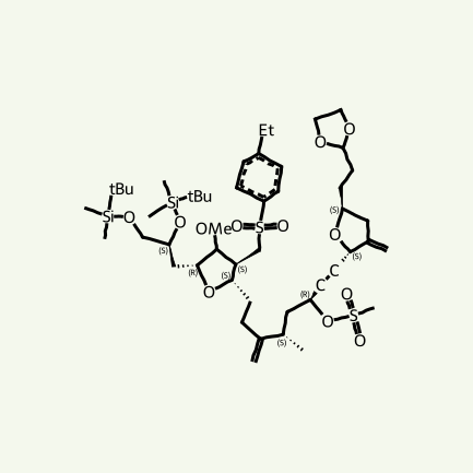 C=C1C[C@H](CCC2OCCO2)O[C@H]1CC[C@H](C[C@H](C)C(=C)CC[C@@H]1O[C@H](C[C@@H](CO[Si](C)(C)C(C)(C)C)O[Si](C)(C)C(C)(C)C)C(OC)[C@H]1CS(=O)(=O)c1ccc(CC)cc1)OS(C)(=O)=O